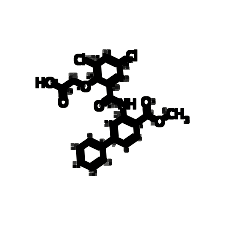 COC(=O)c1ccc(-c2ccccc2)cc1NC(=O)c1cc(Cl)cc(Cl)c1OCC(=O)O